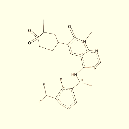 CC1CC(c2cc3c(N[C@H](C)c4cccc(C(F)F)c4F)ncnc3n(C)c2=O)CCS1(=O)=O